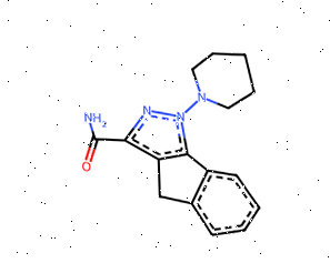 NC(=O)c1nn(N2CCCCC2)c2c1Cc1ccccc1-2